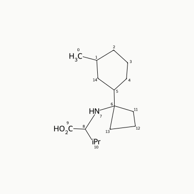 CC1CCCC(C2(NC(C(=O)O)C(C)C)CCC2)C1